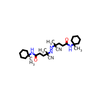 CC(C#N)(CCC(=O)NC1(C)CCCCC1)N=NC(C)(C#N)CCC(=O)NC1(C)CCCCC1